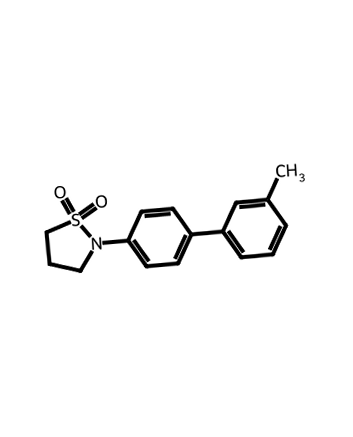 Cc1cccc(-c2ccc(N3CCCS3(=O)=O)cc2)c1